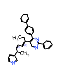 CC/C(=C\C=C/C(C)c1cccnc1)c1cnc(-c2ccccc2)nc1-c1ccc(C2=CCCC=C2)cc1